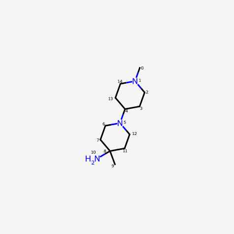 CN1CCC(N2CCC(C)(N)CC2)CC1